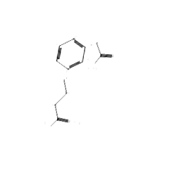 CC(=O)O.CCCC(=O)O.c1ccccc1